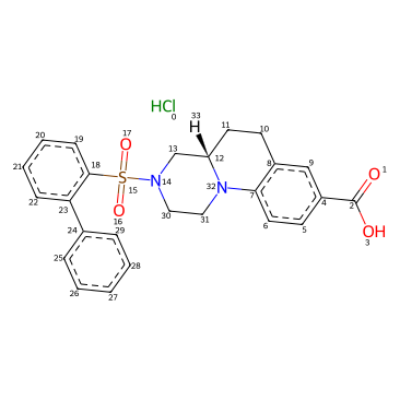 Cl.O=C(O)c1ccc2c(c1)CC[C@H]1CN(S(=O)(=O)c3ccccc3-c3ccccc3)CCN21